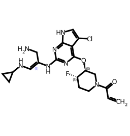 C=CC(=O)N1CC[C@H](F)[C@@H](Oc2nc(N/C(=C/NC3CC3)CN)nc3[nH]cc(Cl)c23)C1